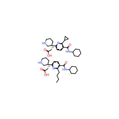 CCCCc1nc([C@]2(CC(=O)O)CCCNC2)ccc1C(=O)NC1CCCCC1.O=C(O)C[C@@]1(c2ccc(C(=O)NC3CCCCC3)c(C3CC3)n2)CCCNC1